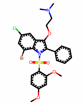 COc1ccc(S(=O)(=O)n2c(-c3ccccc3)c(OCCN(C)C)c3cc(Cl)cc(Br)c32)c(OC)c1